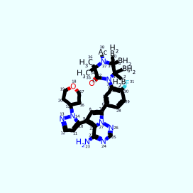 BC1(B)N(c2cc(-c3cc(-c4ccnn4C4CCOCC4)c4c(N)ncnn34)ccc2F)C(=O)C(C)(C)N(C(C)=O)C1(B)B